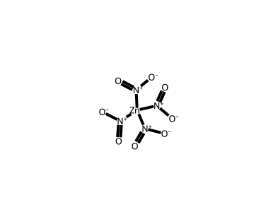 O=[N+]([O-])[Zn]([N+](=O)[O-])([N+](=O)[O-])[N+](=O)[O-]